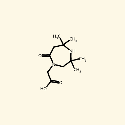 CC1(C)CC(=O)N(CC(=O)O)CC(C)(C)N1